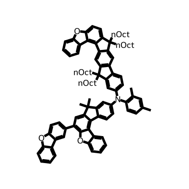 CCCCCCCCC1(CCCCCCCC)c2cc(N(c3ccc4c(c3)C(C)(C)c3cc(-c5ccc6oc7ccccc7c6c5)c5oc6ccccc6c5c3-4)c3ccc(C)cc3C)ccc2-c2cc3c(cc21)-c1c(ccc2oc4ccccc4c12)C3(CCCCCCCC)CCCCCCCC